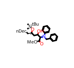 CCCCCCCCCCC[C@H](CC(O)C(C(=O)OC)N(Cc1ccccc1)c1ccccc1)O[Si](C)(C)C(C)(C)C